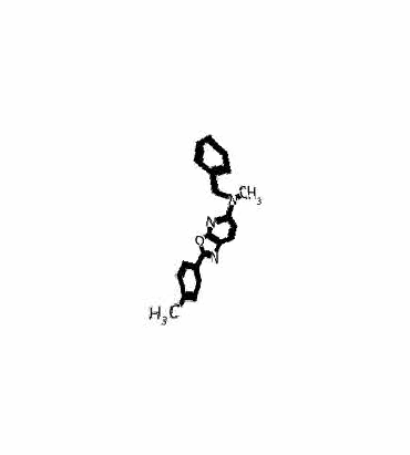 Cc1ccc(-c2nc3ccc(N(C)Cc4ccccc4)nc3o2)cc1